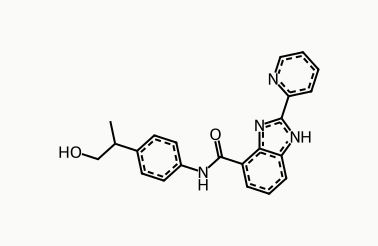 CC(CO)c1ccc(NC(=O)c2cccc3[nH]c(-c4ccccn4)nc23)cc1